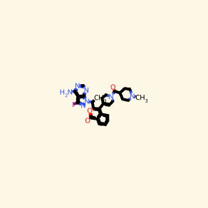 CC(c1oc(=O)c2ccccc2c1C1=CCN(C(=O)C2CCN(C)CC2)CC1)n1nc(I)c2c(N)ncnc21